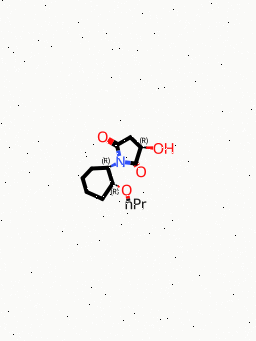 CCCO[C@@H]1CCCC[C@H]1N1C(=O)C[C@@H](O)C1=O